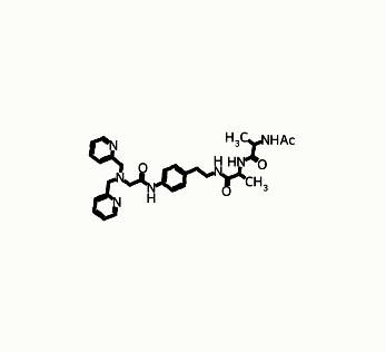 CC(=O)NC(C)C(=O)NC(C)C(=O)NCCc1ccc(NC(=O)CN(Cc2ccccn2)Cc2ccccn2)cc1